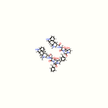 CN1C[C@H](C(=O)N[C@]2(C)O[C@@]3(O)[C@@H]4CCCN4C(=O)[C@H](Cc4ccccc4)N3C2=O)C=C2c3cccc4[nH]cc(c34)C[C@H]21.CN1C[C@H](C(=O)N[C@]2(C)O[C@@]3(O)[C@@H]4CCCN4C(=O)[C@H](Cc4ccccc4)N3C2=O)C[C@@H]2c3cccc4[nH]cc(c34)C[C@H]21